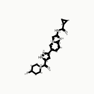 O=C(Nc1cn2cc(-c3cc(C(=O)N4CCC(F)CC4)[nH]n3)ccc2n1)C1CC1